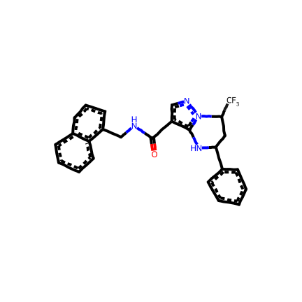 O=C(NCc1cccc2ccccc12)c1cnn2c1NC(c1ccccc1)CC2C(F)(F)F